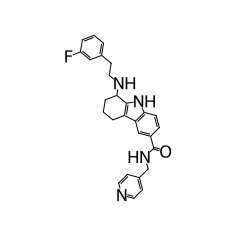 O=C(NCc1ccncc1)c1ccc2[nH]c3c(c2c1)CCCC3NCCc1cccc(F)c1